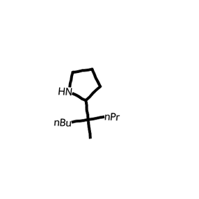 CCCCC(C)(CCC)C1CCCN1